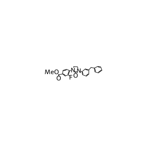 COC(=O)c1ccc(N2CCN(c3cccc(Cc4ccccc4)c3)C2=O)c(F)c1